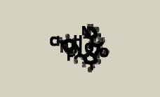 Cc1cc([C@@H](C)Nc2ccc(Cl)nc2F)c2oc(-c3cccnc3)c(C)c(=O)c2c1